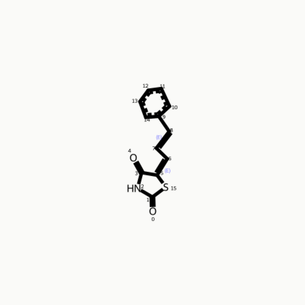 O=C1NC(=O)/C(=C\C=C\c2ccccc2)S1